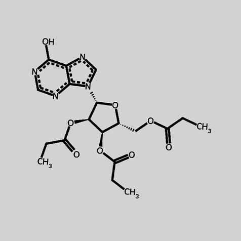 CCC(=O)OC[C@H]1O[C@@H](n2cnc3c(O)ncnc32)[C@H](OC(=O)CC)[C@@H]1OC(=O)CC